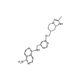 CC1=CN2CCC(COc3cc(CNc4cccc5c(N)nccc45)ccn3)CC2N1